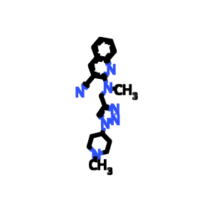 CN1CCC(n2cc(CN(C)c3nc4ccccc4cc3C#N)nn2)CC1